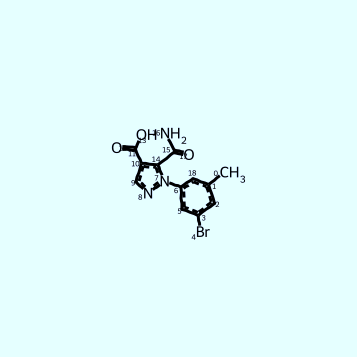 Cc1cc(Br)cc(-n2ncc(C(=O)O)c2C(N)=O)c1